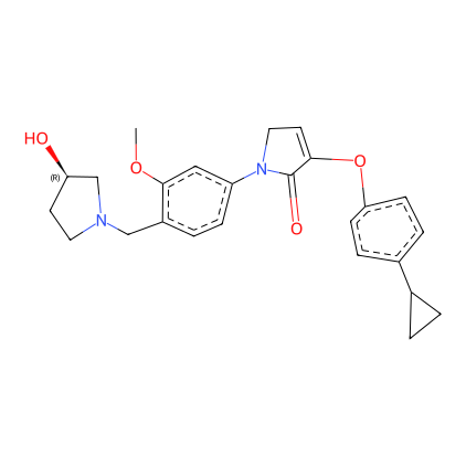 COc1cc(N2CC=C(Oc3ccc(C4CC4)cc3)C2=O)ccc1CN1CC[C@@H](O)C1